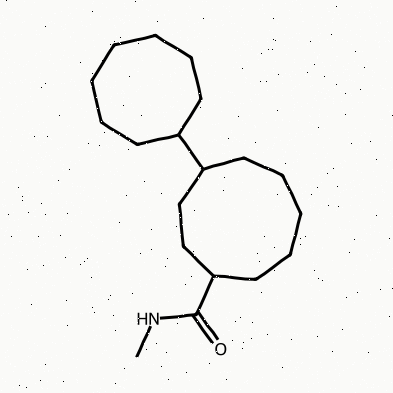 CNC(=O)C1CCCCCC(C2CCCCCCC2)CC1